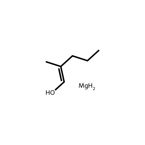 CCCC(C)=CO.[MgH2]